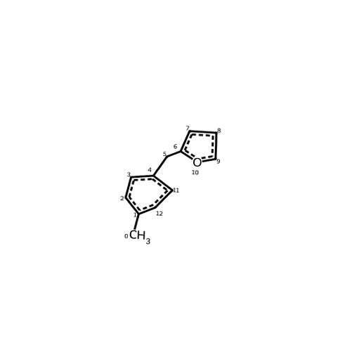 Cc1ccc(Cc2ccco2)cc1